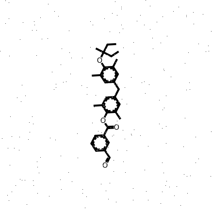 CCC(C)(CC)Oc1c(C)cc(Cc2cc(C)c(OC(=O)c3cccc(C=O)c3)c(C)c2)cc1C